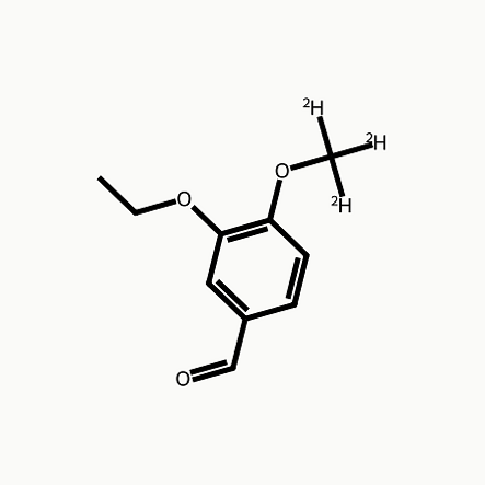 [2H]C([2H])([2H])Oc1ccc(C=O)cc1OCC